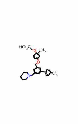 Cc1cc(OCc2cc(CN3CCCCC3)cc(-c3ccc(C(F)(F)F)cc3)c2)ccc1OCC(=O)O